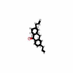 C=CCc1ccc2c(c1)Cc1cc(CC=C)ccc1C2=O